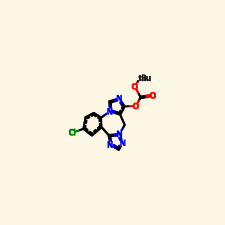 CC(C)(C)OC(=O)Oc1ncn2c1Cn1ncnc1-c1cc(Cl)ccc1-2